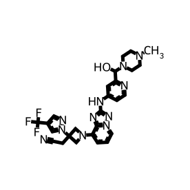 CN1CCN(C(O)c2cc(Nc3nc4c(N5CC(CC#N)(n6cc(C(F)(F)F)cn6)C5)cccn4n3)ccn2)CC1